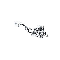 CC#CCOc1ccc(S(=O)(=O)N2CC[S@@+]([O-])C(C)(C)[C@@H]2C(=O)NO)cc1